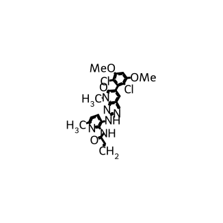 C=CC(=O)Nc1nc(C)ccc1Nc1ncc2cc(-c3c(Cl)c(OC)cc(OC)c3Cl)c(=O)n(C)c2n1